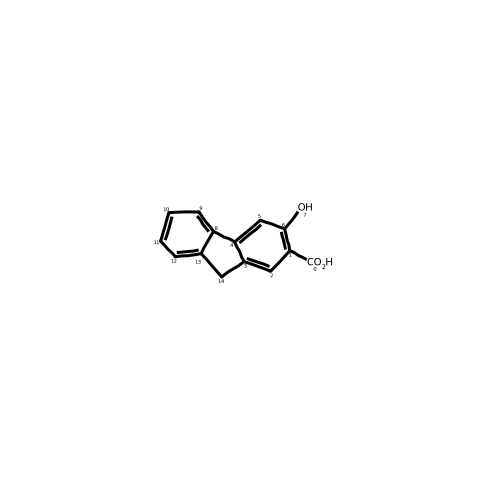 O=C(O)c1cc2c(cc1O)-c1ccccc1C2